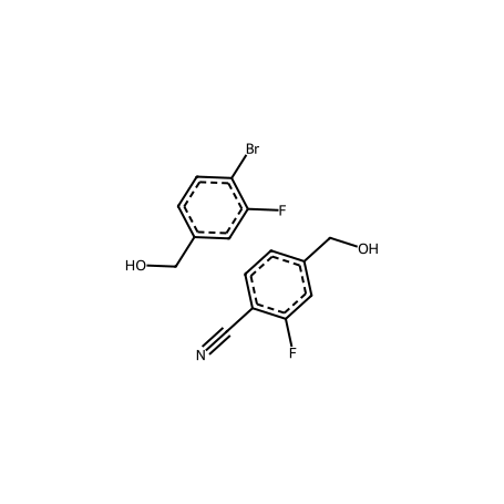 N#Cc1ccc(CO)cc1F.OCc1ccc(Br)c(F)c1